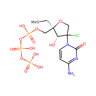 CSC[C@]1(COP(=O)(O)OP(=O)(O)OP(=O)(O)O)OCC(Cl)(n2ccc(N)nc2=O)[C@@H]1O